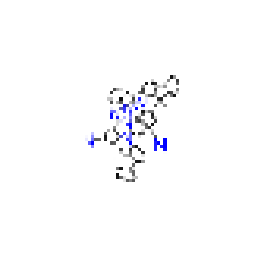 CC1(C)c2ccccc2-c2ccc3c4ccccc4n(-c4ccc(C#N)cc4-c4nc(-c5ccccc5)nc(-c5cc(C#N)ccc5-n5c6ccccc6c6ccc7c(c65)C(C)(C)c5ccccc5-7)n4)c3c21